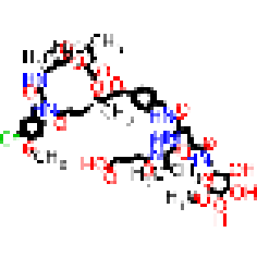 COc1ccc(C[C@H]2NC(=O)/C=C/C[C@@H]([C@H](C)[C@H]3O[C@@H]3c3ccc(CNC(=O)C(CCC(=O)NC[C@H]4O[C@@H](OC)[C@H](O)[C@@H](O)[C@@H]4O)NC(=O)C(NC(=O)CCCC(=O)O)C(C)C)cc3)OC(=O)[C@H](CC(C)C)OC(=O)C(C)(C)CNC2=O)cc1Cl